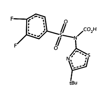 CC(C)(C)c1csc(N(C(=O)O)S(=O)(=O)c2ccc(F)c(F)c2)n1